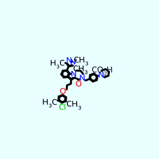 Cc1cc(OCCCc2c3n(c4c(-c5c(C)nn(C)c5C)cccc24)CCCN(Cc2ccc(N4CCCCC4)c(C(=O)O)c2)C3=O)cc(C)c1Cl